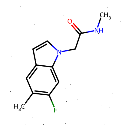 CNC(=O)Cn1ccc2cc(C)c(F)cc21